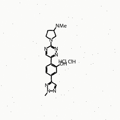 CNC1CCN(c2ncc(-c3ccc(-c4cnn(C)n4)cc3O)nn2)C1.Cl.Cl